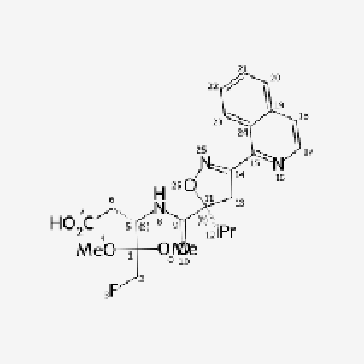 COC(CF)(OC)[C@H](CC(=O)O)NC(=O)[C@]1(C(C)C)CC(c2nccc3ccccc23)=NO1